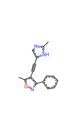 Cc1ncc(C#Cc2c(-c3ccccc3)noc2C)[nH]1